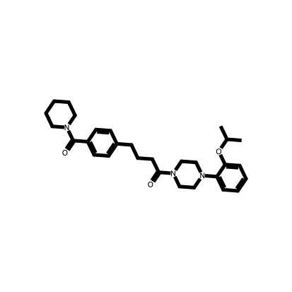 CC(C)Oc1ccccc1N1CCN(C(=O)CCCc2ccc(C(=O)N3CCCCC3)cc2)CC1